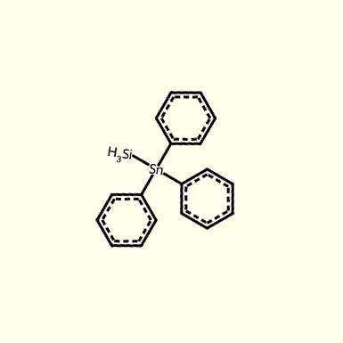 [SiH3][Sn]([c]1ccccc1)([c]1ccccc1)[c]1ccccc1